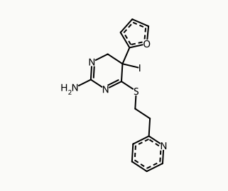 NC1=NCC(I)(c2ccco2)C(SCCc2ccccn2)=N1